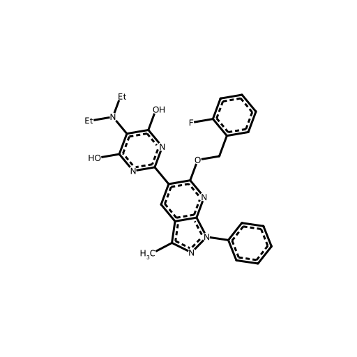 CCN(CC)c1c(O)nc(-c2cc3c(C)nn(-c4ccccc4)c3nc2OCc2ccccc2F)nc1O